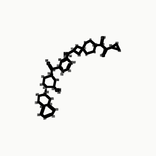 O=C(C(=O)N1CCC2(CC1)CC(Nc1cc(C(=O)N3CC[C@@H](N4CCc5ccccc5C4)[C@H](O)C3)ncn1)C2)C1CC1